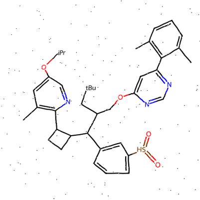 Cc1cc(OC(C)C)cnc1C1CCC1C(c1cccc([SH](=O)=O)c1)C(COc1cc(-c2c(C)cccc2C)ncn1)CC(C)(C)C